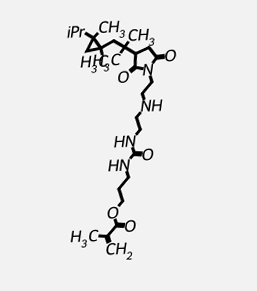 C=C(C)C(=O)OCCCNC(=O)NCCNCCN1C(=O)CC(C(C)(C)CC2(C)CC2(C)C(C)C)C1=O